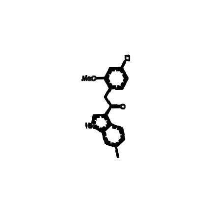 COc1cc(Cl)ccc1CC(=O)c1c[nH]c2cc(C)ccc12